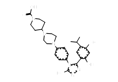 CC(C)c1cc(-c2nnc(O)n2-c2ccc(N3CCN(C4CCN(C(=O)O)CC4)CC3)cc2)c(O)cc1O